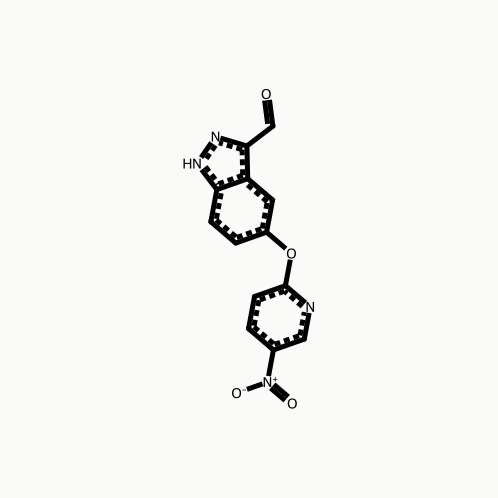 O=Cc1n[nH]c2ccc(Oc3ccc([N+](=O)[O-])cn3)cc12